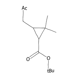 CC(=O)CC1C(C(=O)OC(C)(C)C)C1(C)C